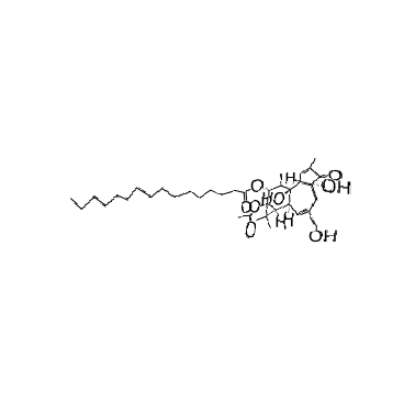 CCCCCCCCCCCCCCCC(=O)O[C@@H]1[C@@H](C)[C@@]2(O)[C@@H](C=C(CO)C[C@]3(O)C(=O)C(C)=C[C@@H]23)[C@H]2C(C)(C)[C@]12OC(C)=O